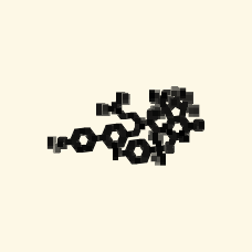 [2H]C([2H])(Sc1nc(=O)c2c(n1CC(=O)N(CCN(CC)CC)Cc1ccc(-c3ccc(C(F)(F)F)cc3)cc1)C([2H])([2H])C([2H])(C)C2([2H])[2H])c1ccc(F)cc1